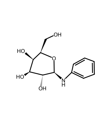 OC[C@H]1O[C@@H](Nc2ccccc2)[C@H](O)[C@@H](O)[C@H]1O